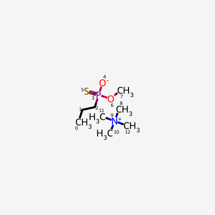 CCCP([O-])(=S)OC.C[N+](C)(C)C